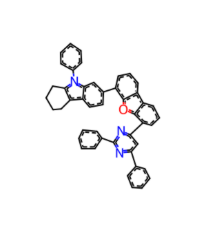 c1ccc(-c2cc(-c3cccc4c3oc3c(-c5ccc6c7c(n(-c8ccccc8)c6c5)CCCC7)cccc34)nc(-c3ccccc3)n2)cc1